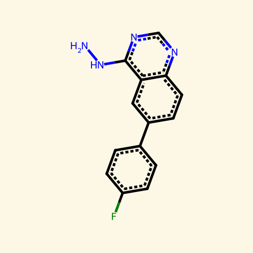 NNc1ncnc2ccc(-c3ccc(F)cc3)cc12